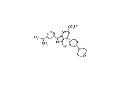 CCOC(=O)c1cc(-c2ccc(N3CCOCC3)nc2)c2c(C(C)C)nn(-c3cccc(N(C)C)c3)c2n1